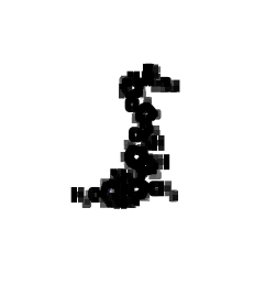 CCCCN(CC)c1cc(O[C@H]2CCN(CC(=O)Nc3cccc4c(-c5nc(NC(=N)/C=C(/C)NC)ncc5C)c[nH]c34)C2)ncn1